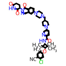 CC1(C)[C@H](NC(=O)c2ccc(N3CCC(CN4CCN(c5ccc6c(=O)n([C@@H]7CCC(=O)NC7=O)ncc6c5)CC4)CC3)cn2)C(C)(C)[C@H]1Oc1ccc(C#N)c(Cl)c1